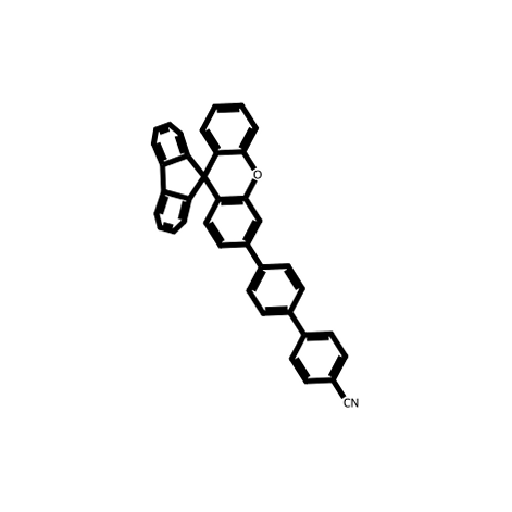 N#Cc1ccc(-c2ccc(-c3ccc4c(c3)Oc3ccccc3C43c4ccccc4-c4ccccc43)cc2)cc1